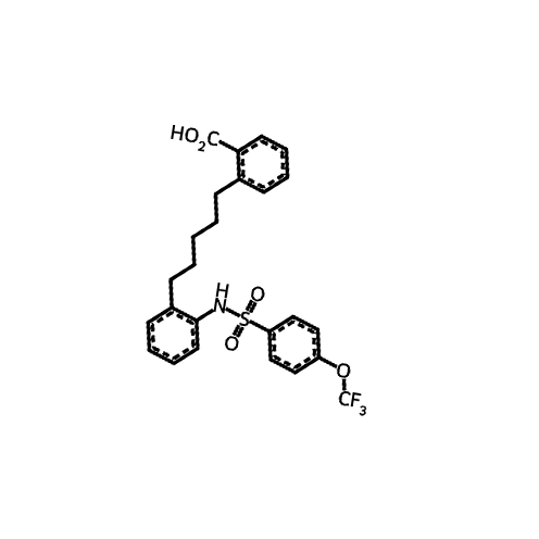 O=C(O)c1ccccc1CCCCCc1ccccc1NS(=O)(=O)c1ccc(OC(F)(F)F)cc1